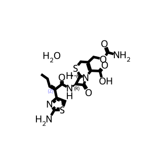 CC/C=C(\C(=O)N[C@@H]1C(=O)N2C(C(=O)O)=C(COC(N)=O)CS[C@H]12)c1csc(N)n1.O